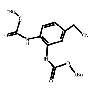 CC(C)(C)OC(=O)Nc1ccc(CC#N)cc1NC(=O)OC(C)(C)C